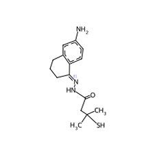 CC(C)(S)CC(=O)N/N=C1\CCCc2cc(N)ccc21